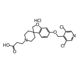 Cl.O=C(O)CCN1CCC2(CC1)COc1cc(OCc3c(Cl)cncc3Cl)ccc12